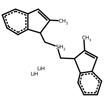 CC1=Cc2ccccc2C1C[SiH2]CC1C(C)=Cc2ccccc21.[LiH].[LiH]